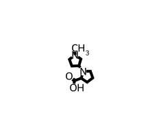 CN1CCC(N2CCCC2C(=O)O)C1